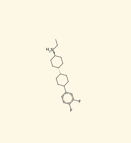 CC[SiH2][C@H]1CC[C@H](C2CCC(c3ccc(F)c(F)c3)CC2)CC1